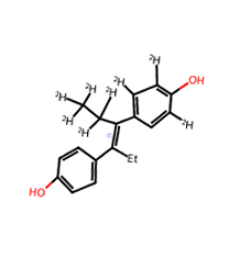 [2H]c1cc(/C(=C(\CC)c2ccc(O)cc2)C([2H])([2H])C([2H])([2H])[2H])c([2H])c([2H])c1O